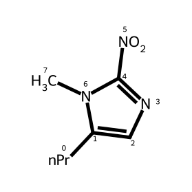 CCCc1cnc([N+](=O)[O-])n1C